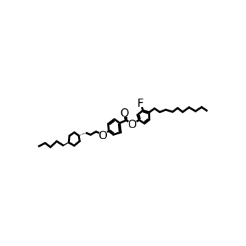 CCCCCCCCCCc1ccc(OC(=O)c2ccc(OCCC[C@H]3CC[C@H](CCCCC)CC3)cc2)cc1F